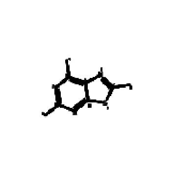 Cc1cc(C)c2nc(C)sc2c1